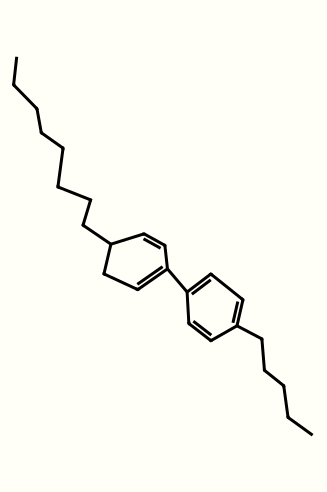 CCCCCCCCC1C=CC(c2ccc(CCCCC)cc2)=CC1